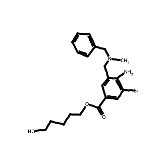 CN(Cc1ccccc1)Cc1cc(C(=O)OCCCCCO)cc(Br)c1N